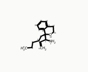 C=CC(N)C1(CCCCC)OCCc2ccccc21